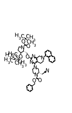 CC(C)(C)OC(=O)N1CCC(O[Si](C)(C)C(C)(C)C)[C@H]1COc1nc2c(c(N3CCN(C(=O)OCc4ccccc4)[C@@H](CC#N)C3)n1)CCN(c1cccc3ccccc13)C2